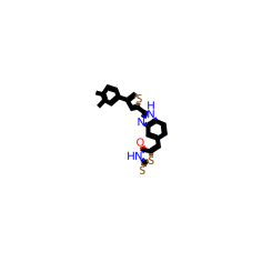 Cc1ccc(-c2csc(-c3nc4cc(C=C5SC(=S)NC5=O)ccc4[nH]3)c2)cc1C